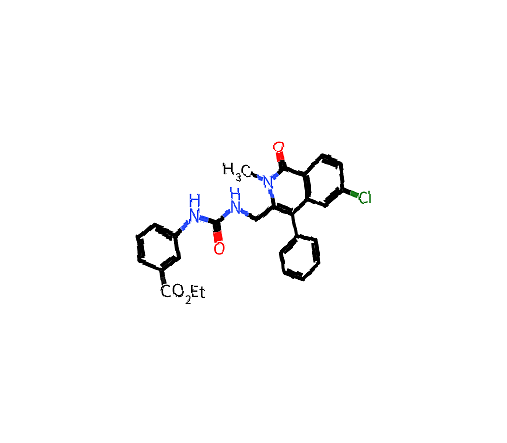 CCOC(=O)c1cccc(NC(=O)NCc2c(-c3ccccc3)c3cc(Cl)ccc3c(=O)n2C)c1